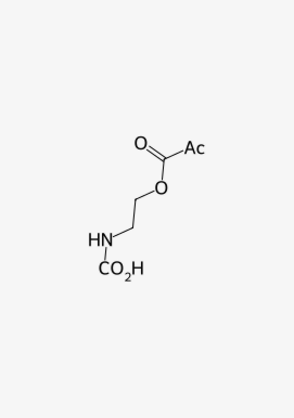 CC(=O)C(=O)OCCNC(=O)O